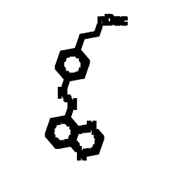 CCCCCCCCCCCCc1ccc(/N=N/c2cccc3nccnc23)cc1